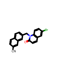 N#Cc1ccc2ccc(Cn3c(=O)ccc4cc(Br)ccc43)cc2c1